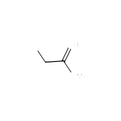 C=C(CF)OC